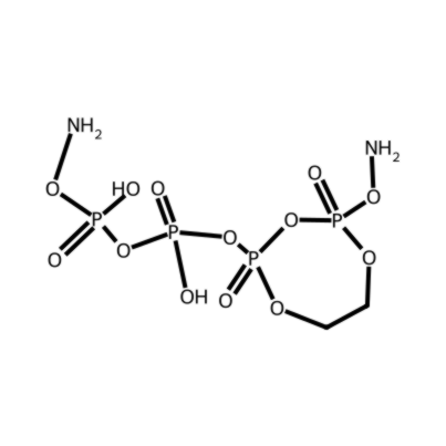 NOP(=O)(O)OP(=O)(O)OP1(=O)OCCOP(=O)(ON)O1